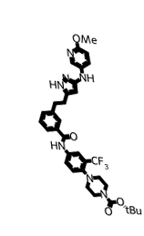 COc1ccc(Nc2cc(CCc3cccc(C(=O)Nc4ccc(N5CCN(C(=O)OC(C)(C)C)CC5)c(C(F)(F)F)c4)c3)[nH]n2)cn1